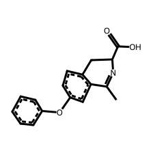 CC1=NC(C(=O)O)Cc2ccc(Oc3ccccc3)cc21